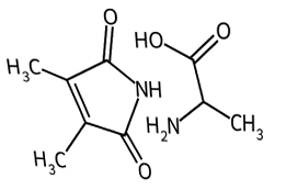 CC(N)C(=O)O.CC1=C(C)C(=O)NC1=O